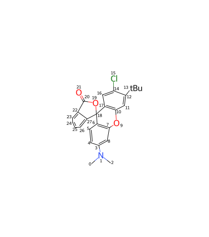 CN(C)c1ccc2c(c1)Oc1cc(C(C)(C)C)c(Cl)cc1C21OC(=O)c2ccccc21